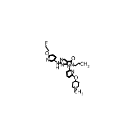 C=CCn1c(=O)c2cnc(Nc3ccc(OCCF)nc3)nc2n1-c1cccc(OC2CCN(C)CC2)n1